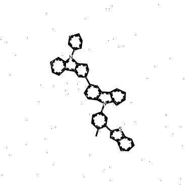 Cc1ccc(-n2c3ccccc3c3cc(-c4ccc5c(c4)c4ccccc4n5-c4ccccc4)ccc32)cc1-c1cc2ccccc2s1